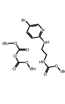 CC(C)(C)OC(=O)NCCNc1ccc(Br)cn1.CC(C)(C)OC(=O)OC(=O)OC(C)(C)C